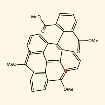 COC(=O)c1cccc(C(=O)OC)c1-c1c2ccccc2c(-c2c(C(=O)OC)cccc2C(=O)OC)c2ccccc12